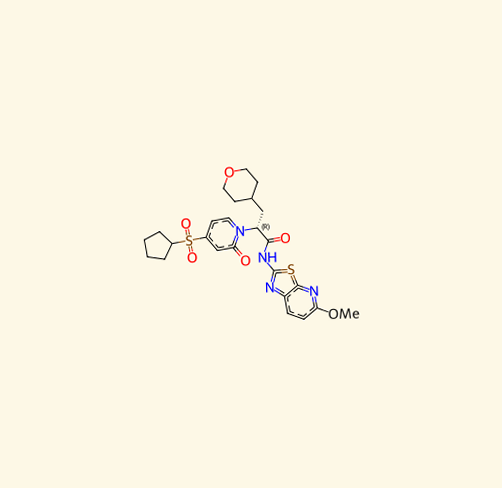 COc1ccc2nc(NC(=O)[C@@H](CC3CCOCC3)n3ccc(S(=O)(=O)C4CCCC4)cc3=O)sc2n1